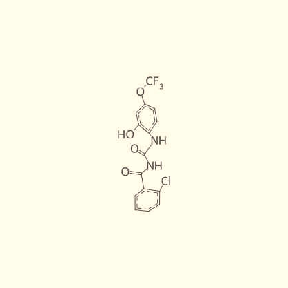 O=C(NC(=O)c1ccccc1Cl)Nc1ccc(OC(F)(F)F)cc1O